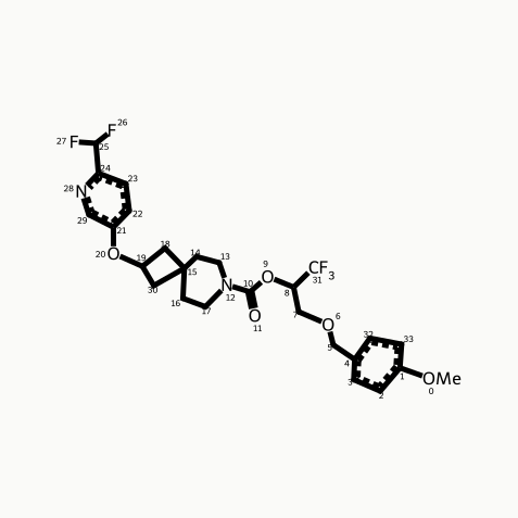 COc1ccc(COCC(OC(=O)N2CCC3(CC2)CC(Oc2ccc(C(F)F)nc2)C3)C(F)(F)F)cc1